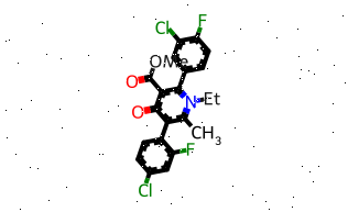 CCn1c(C)c(-c2ccc(Cl)cc2F)c(=O)c(C(=O)OC)c1-c1ccc(F)c(Cl)c1